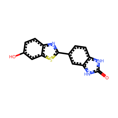 O=c1[nH]c2ccc(-c3nc4ccc(O)cc4s3)cc2[nH]1